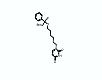 CC(C)CC(OCCCCCCn1ccc(=O)[nH]c1=O)(c1ccccc1)C(C)C